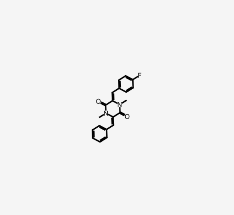 Cn1c(=O)c(=Cc2ccc(F)cc2)n(C)c(=O)c1=Cc1ccccc1